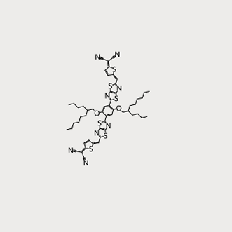 CCCCCCC(CCCC)COc1cc(-c2nc3sc(/C=c4\ccc(=C(C#N)C#N)s4)nc3s2)c(OCC(CCCC)CCCCCC)cc1-c1nc2sc(/C=c3\ccc(=C(C#N)C#N)s3)nc2s1